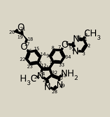 Cc1ccnc(Oc2ccc(-c3c(-c4ccc(OC[C@H]5CO5)cc4)n(C)c4ncnc(N)c34)cc2)n1